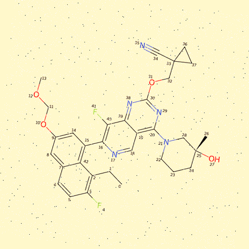 CCc1c(F)ccc2cc(OCOC)cc(-c3ncc4c(N5CCC[C@@](C)(O)C5)nc(OCC5(C#N)CC5)nc4c3F)c12